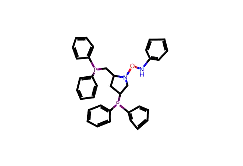 c1ccc(NON2CC(P(c3ccccc3)c3ccccc3)CC2CP(c2ccccc2)c2ccccc2)cc1